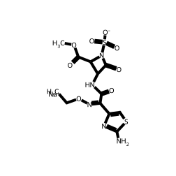 CCON=C(C(=O)NC1C(=O)N(S(=O)(=O)[O-])C1C(=O)OC)c1csc(N)n1.[Na+]